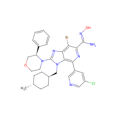 C[C@H]1CC[C@H](Cn2c(N3CCOC[C@H]3c3ccccc3)nc3c(Br)c(/C(N)=N/O)nc(-c4cncc(Cl)c4)c32)CC1